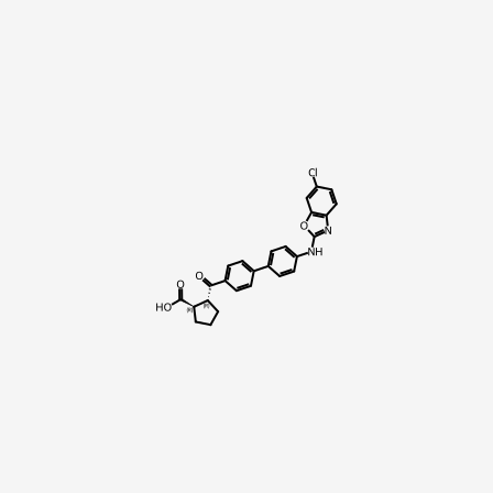 O=C(O)[C@@H]1CCC[C@H]1C(=O)c1ccc(-c2ccc(Nc3nc4ccc(Cl)cc4o3)cc2)cc1